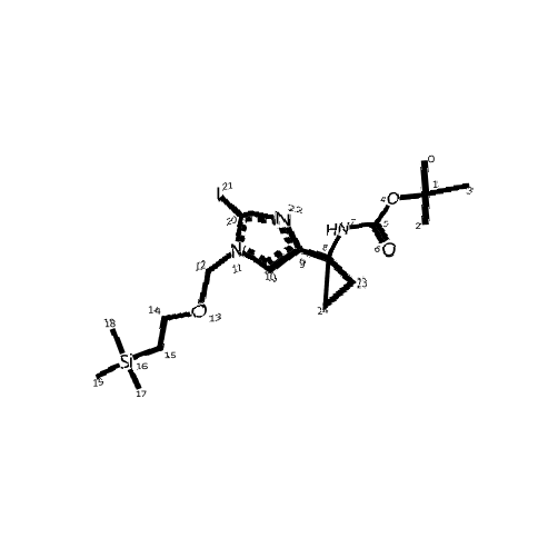 CC(C)(C)OC(=O)NC1(c2cn(COCC[Si](C)(C)C)c(I)n2)CC1